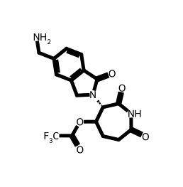 NCc1ccc2c(c1)CN([C@@H]1C(=O)NC(=O)CCC1OC(=O)C(F)(F)F)C2=O